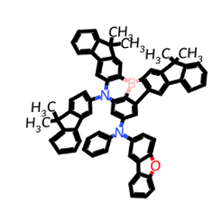 CC1(C)c2ccccc2-c2cc(N3c4cc5c(cc4B4c6cc7c(cc6-c6cc(N(c8ccccc8)c8ccc9oc%10ccccc%10c9c8)cc3c64)-c3ccccc3C7(C)C)C(C)(C)c3ccccc3-5)ccc21